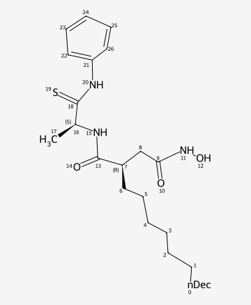 CCCCCCCCCCCCCCCC[C@H](CC(=O)NO)C(=O)N[C@@H](C)C(=S)Nc1ccccc1